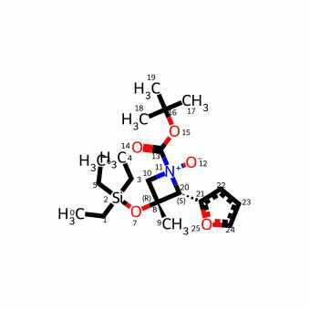 CC[Si](CC)(CC)O[C@]1(C)C[N+]([O-])(C(=O)OC(C)(C)C)[C@@H]1c1ccco1